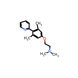 Cc1cc(OCCN(C)C)cc(C)c1-c1ccc[c]n1